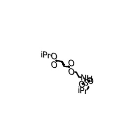 CC(C)CS(=O)(=O)NCCOC(=O)/C=C/C(=O)OC(C)C